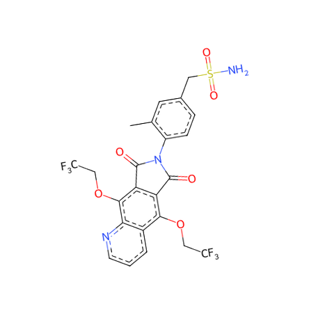 Cc1cc(CS(N)(=O)=O)ccc1N1C(=O)c2c(c(OCC(F)(F)F)c3ncccc3c2OCC(F)(F)F)C1=O